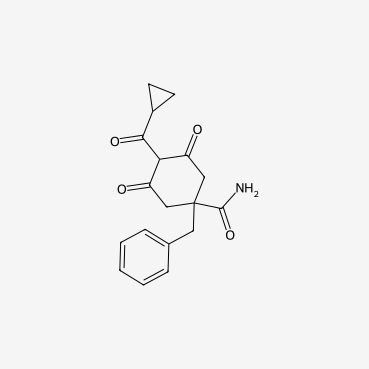 NC(=O)C1(Cc2ccccc2)CC(=O)C(C(=O)C2CC2)C(=O)C1